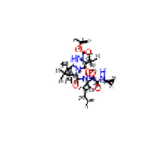 C=C(C)OC(=O)N[C@H](C(=O)N1C[C@H]2[C@@H]([C@H]1C(=O)NC1(C(=O)C(=O)NC3CC3)CC(CCC)C1)C2(C)C)C(C)(C)C